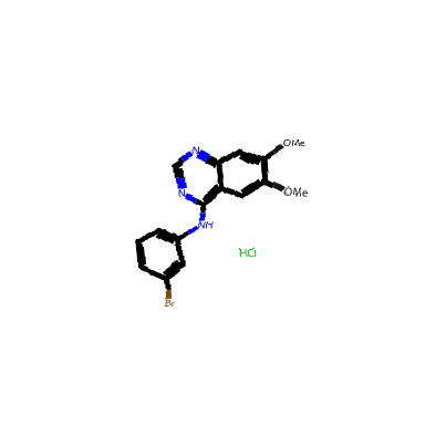 COc1cc2ncnc(Nc3cccc(Br)c3)c2cc1OC.Cl